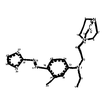 CCN(CC[N+]12CCN(CC1)CC2)c1ccc(N=Nc2nccs2)c(C)c1